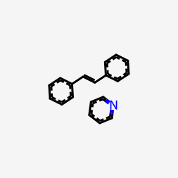 C(=Cc1ccccc1)c1ccccc1.c1ccncc1